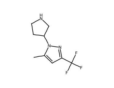 Cc1cc(C(F)(F)F)nn1C1CCNC1